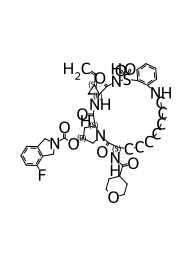 C=C[C@@H]1C[C@@]12NC(=O)[C@@H]1C[C@@H](OC(=O)N3Cc4cccc(F)c4C3)CN1C(=O)[C@@H](NC(=O)C1CCOCC1)CCCCCCCNc1ccccc1S(=O)(=O)NC2=O